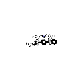 Cn1c(-c2ccc(-c3nc(CN)co3)cc2)nc2ccccc21.O=C(O)/C=C/C(=O)O